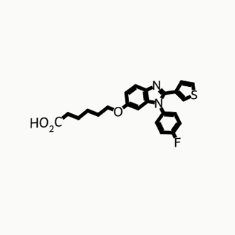 O=C(O)CCCCCOc1ccc2nc(-c3ccsc3)n(-c3ccc(F)cc3)c2c1